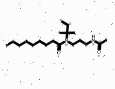 CCCCCCCCC(=O)N(CCCNC(C)=O)C(C)(C)CC